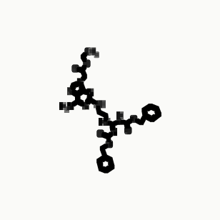 CCOC(=O)Cn1cnc2c(N)nc(NCCN/C(=N\C(=O)OCc3ccccc3)NC(=O)OCc3ccccc3)nc21